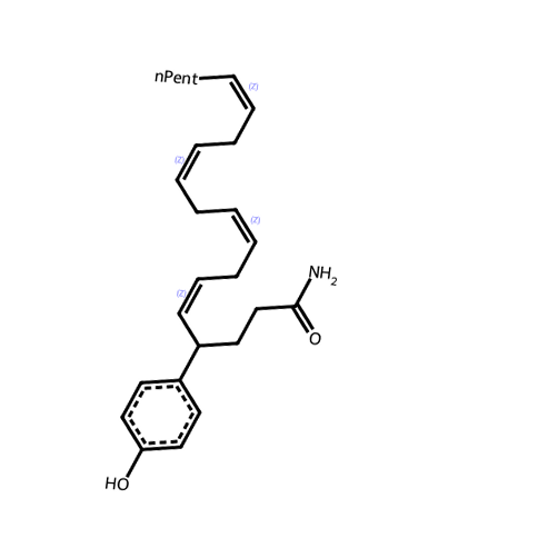 CCCCC/C=C\C/C=C\C/C=C\C/C=C\C(CCC(N)=O)c1ccc(O)cc1